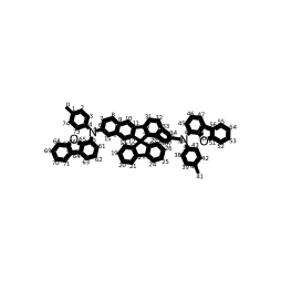 Cc1ccc(N(c2ccc3cc4c(cc3c2)C2(c3ccccc3-c3ccccc32)c2c-4ccc3cc(N(c4ccc(C)cc4)c4cccc5c4oc4ccccc45)ccc23)c2cccc3c2oc2ccccc23)cc1